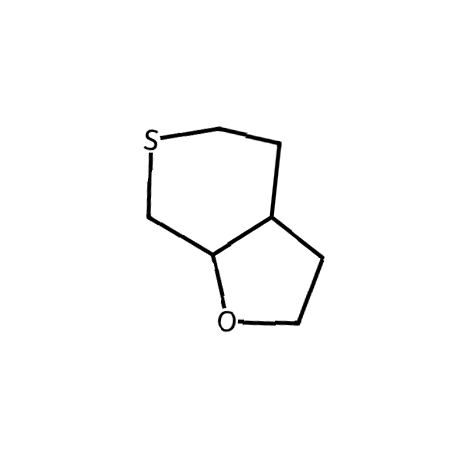 C1CC2CCSCC2O1